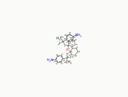 CC(F)(CC1(OC2(CC(C)(F)c3ccc(N)cc3)CCCCC2)CCCCC1)c1ccc(N)cc1